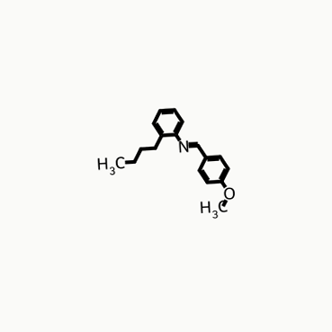 CCCCc1ccccc1N=Cc1ccc(OC)cc1